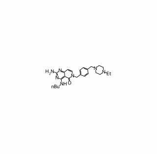 CCCCNc1nc(N)nc2ccn(Cc3ccc(CN4CCN(CC)CC4)cc3)c(=O)c12